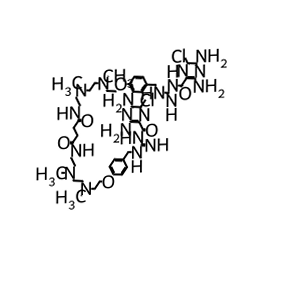 CN(CCNC(=O)CCC(=O)NCCN(C)CCN(C)CCOc1ccc(CNC(=N)NC(=O)c2nc(Cl)c(N)nc2N)cc1)CCN(C)CCOc1ccc(CNC(=N)NC(=O)c2nc(Cl)c(N)nc2N)cc1